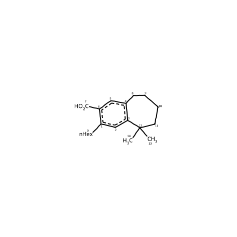 CCCCCCc1cc2c(cc1C(=O)O)CCCCC2(C)C